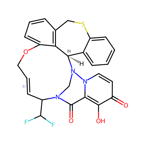 O=C1c2c(O)c(=O)ccn2N2CN1C(C(F)F)/C=C/COc1cccc3c1[C@H]2c1ccccc1SC3